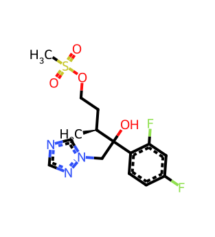 C[C@@H](CCOS(C)(=O)=O)C(O)(Cn1cncn1)c1ccc(F)cc1F